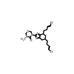 CC/C=C/CCC1Cc2nc(N3COCN(C)C3=O)sc2C(CC/C=C/CC)C1